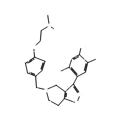 CN(C)CCOc1ccc(CN2CCc3[nH]nc(-c4cc(Cl)c(O)cc4O)c3C2)cc1